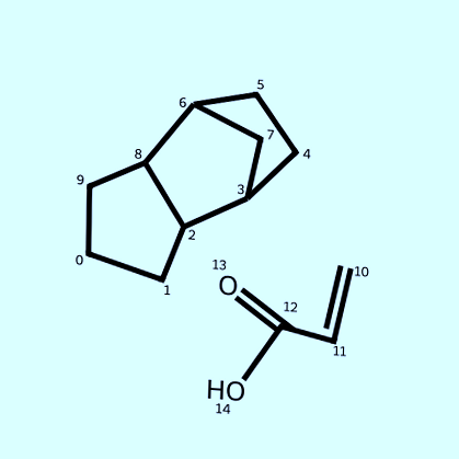 C1CC2C3CCC(C3)C2C1.C=CC(=O)O